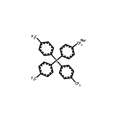 FC(F)(F)c1ccc([B-](c2ccc(C(F)(F)F)cc2)(c2ccc(C(F)(F)F)cc2)c2ccc(C(F)(F)F)cc2)cc1.[Na+]